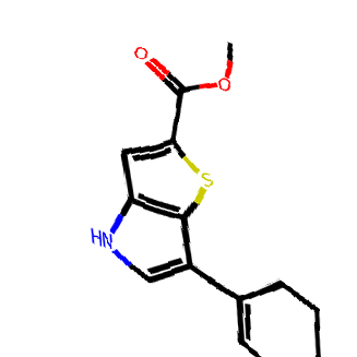 COC(=O)c1cc2[nH]cc(C3=CCCCC3)c2s1